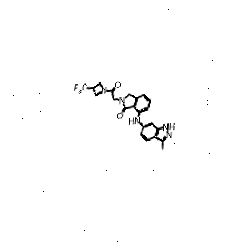 Cc1n[nH]c2cc(Nc3cccc4c3C(=O)N(CC(=O)N3CC(C(F)(F)F)C3)C4)ccc12